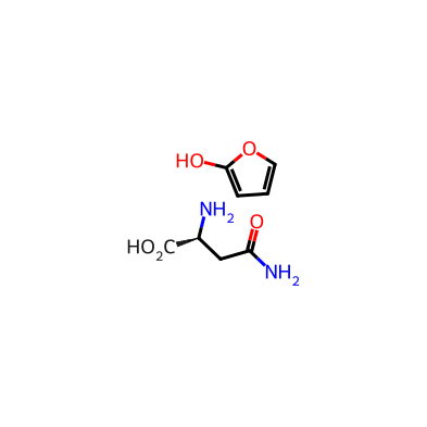 NC(=O)C[C@H](N)C(=O)O.Oc1ccco1